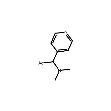 CC(=O)C(c1ccncc1)N(C)C